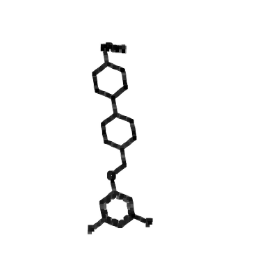 CCCCCC1CCC(C2CCC(COc3cc(F)cc(F)c3)CC2)CC1